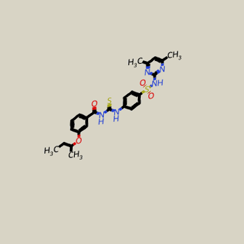 CCC(C)Oc1cccc(C(=O)NC(=S)Nc2ccc(S(=O)(=O)Nc3nc(C)cc(C)n3)cc2)c1